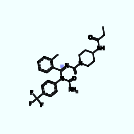 C=C(/N=C(/c1ccccc1C)N(C(N)=O)c1ccc(C(F)(F)F)cc1)N1CCC(NC(=O)CC)CC1